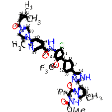 COC(=O)N[C@H](C(=O)N1CC(C)=C[C@H]1c1nc(-c2ccc(-c3cc(Cl)c(NC(=O)c4ccc(N5CCN(C(=O)[C@H]6CC6(C)C)C[C@H]5C)nc4)cc3OC(F)(F)F)cc2)c[nH]1)C(C)C